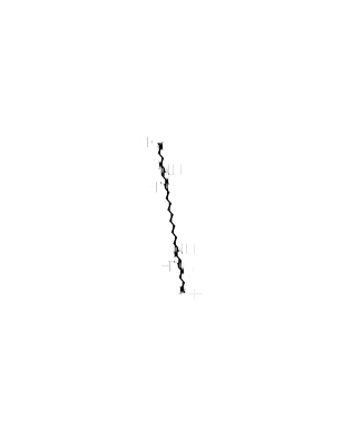 O=C(O)CCC(=O)NCC(=O)NCCCCCCCCCCNC(=O)CNC(=O)CCC(=O)O